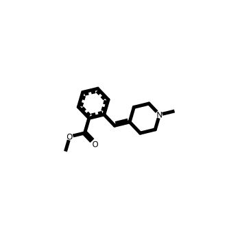 COC(=O)c1ccccc1C=C1CCN(C)CC1